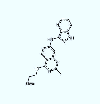 COCCNc1nc(C)cc2cc(Nc3n[nH]c4cccnc34)ccc12